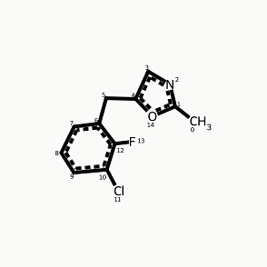 Cc1ncc(Cc2cccc(Cl)c2F)o1